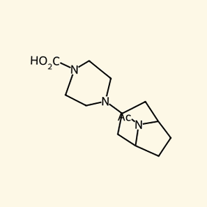 CC(=O)N1C2CCC1CC(N1CCN(C(=O)O)CC1)C2